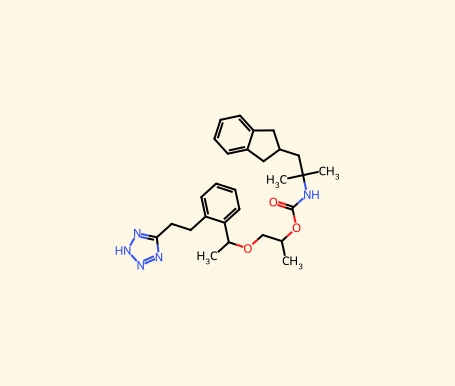 CC(COC(C)c1ccccc1CCc1nn[nH]n1)OC(=O)NC(C)(C)CC1Cc2ccccc2C1